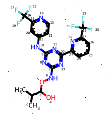 CC(C)C(O)ONc1nc(Nc2ccnc(C(F)(F)F)c2)nc(-c2cccc(C(F)(F)F)n2)n1